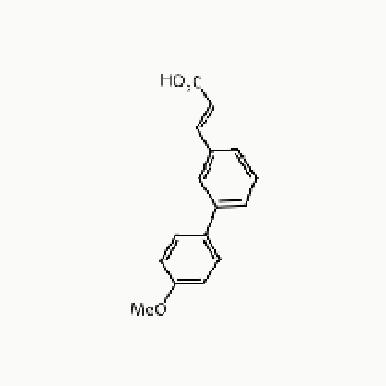 COc1ccc(-c2cccc(C=CC(=O)O)c2)cc1